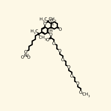 COCCOCCOCCOCCOCCOCCOCC(=O)Oc1cc(C(C)(C)CCCCCCO[N+](=O)[O-])cc2c1[C@@H]1CC(=O)CC[C@H]1C(C)(C)O2